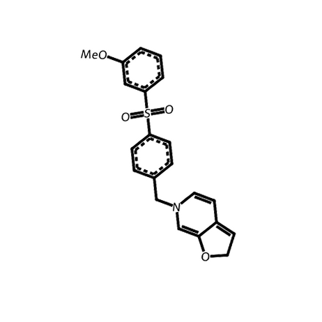 COc1cccc(S(=O)(=O)c2ccc(CN3C=CC4=CCOC4=C3)cc2)c1